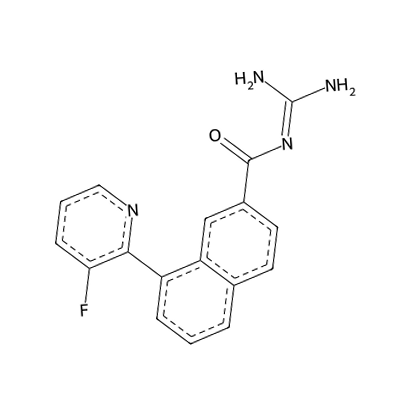 NC(N)=NC(=O)c1ccc2cccc(-c3ncccc3F)c2c1